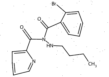 CCCCNN(C(=O)c1ccccn1)C(=O)c1ccccc1Br